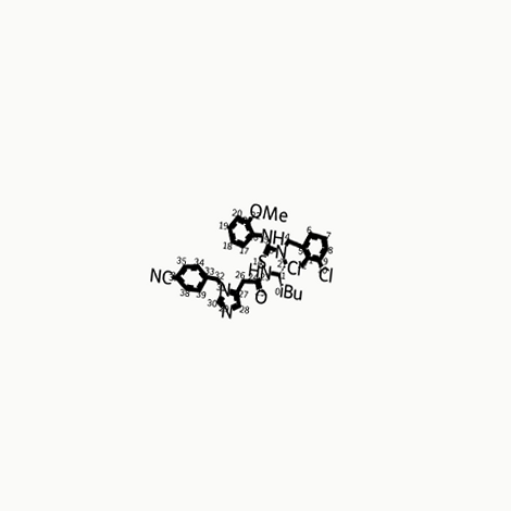 CC[C@H](C)[C@@H](CN(Cc1cccc(Cl)c1Cl)C(=S)Nc1ccccc1OC)NC(=O)Cc1cncn1Cc1ccc(C#N)cc1